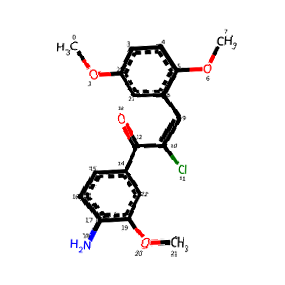 COc1ccc(OC)c(/C=C(/Cl)C(=O)c2ccc(N)c(OC)c2)c1